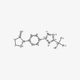 O=C1CCON1c1ccc(-c2noc(C(F)(F)F)n2)cc1